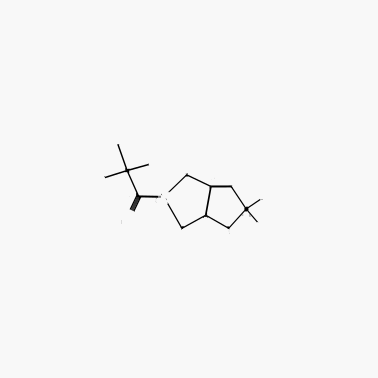 CC(C)(C)C(=O)N1CC2CC(F)(F)CC2C1